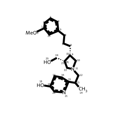 COc1cccc(CCC[C@@H]2CN(CC(C)c3ccc(O)cn3)C[C@@H]2CO)c1